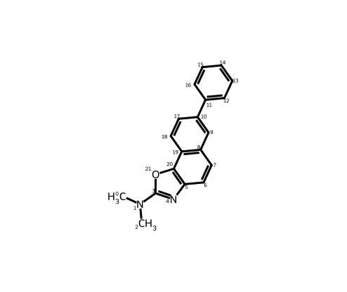 CN(C)c1nc2ccc3cc(-c4ccccc4)ccc3c2o1